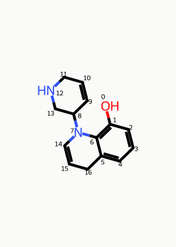 Oc1cccc2c1N(C1C=CCNC1)C=CC2